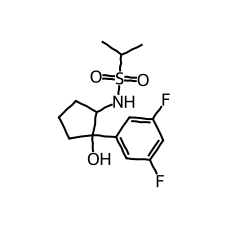 CC(C)S(=O)(=O)NC1CCCC1(O)c1cc(F)cc(F)c1